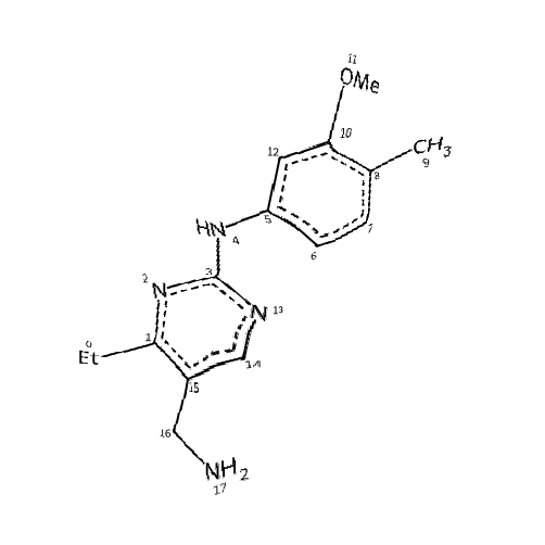 CCc1nc(Nc2ccc(C)c(OC)c2)ncc1CN